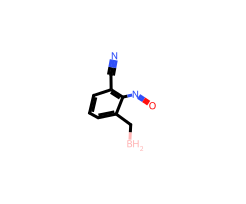 BCc1cccc(C#N)c1N=O